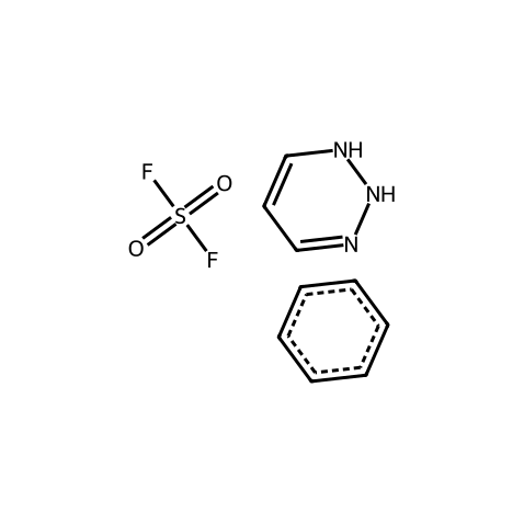 C1=CNNN=C1.O=S(=O)(F)F.c1ccccc1